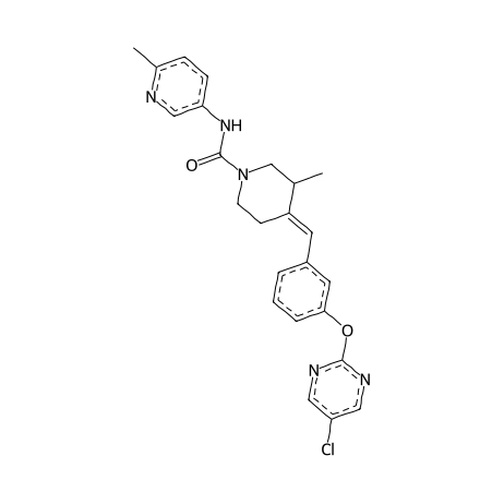 Cc1ccc(NC(=O)N2CCC(=Cc3cccc(Oc4ncc(Cl)cn4)c3)C(C)C2)cn1